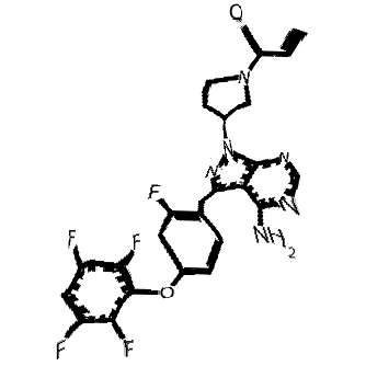 C=CC(=O)N1CC[C@H](n2nc(C3=C(F)CC(Oc4c(F)c(F)cc(F)c4F)C=C3)c3c(N)ncnc32)C1